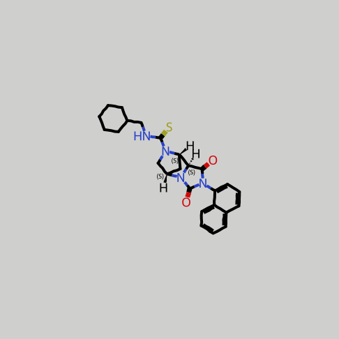 O=C1[C@@H]2[C@@H]3C[C@@H](CN3C(=S)NCC3CCCCC3)N2C(=O)N1c1cccc2ccccc12